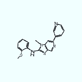 COc1ccccc1Nc1nc2cnc(-c3cccnc3)cc2n1C